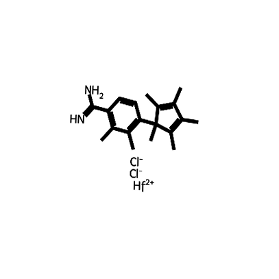 CC1=C(C)C(C)(c2ccc(C(=N)N)c(C)c2C)C(C)=C1C.[Cl-].[Cl-].[Hf+2]